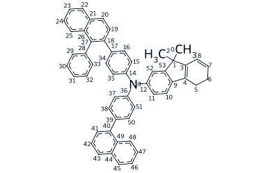 CC1(C)C2=C(CCC=C2)c2ccc(N(c3ccc(-c4ccc5ccccc5c4-c4ccccc4)cc3)c3ccc(-c4cccc5ccccc45)cc3)cc21